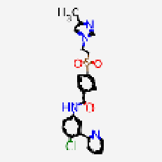 Cc1cn(CCS(=O)(=O)c2ccc(C(=O)Nc3ccc(Cl)c(-c4ccccn4)c3)cc2)cn1